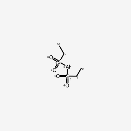 CC[S](=O)(=O)[Al][S](=O)(=O)CC